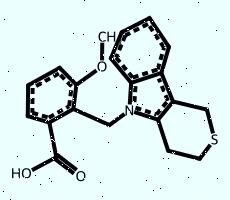 COc1cccc(C(=O)O)c1Cn1c2c(c3ccccc31)CSCC2